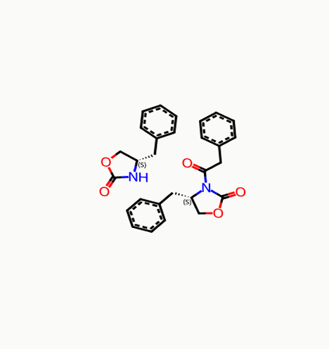 O=C(Cc1ccccc1)N1C(=O)OC[C@@H]1Cc1ccccc1.O=C1N[C@@H](Cc2ccccc2)CO1